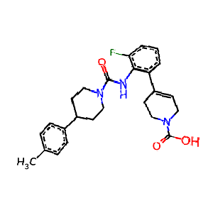 Cc1ccc(C2CCN(C(=O)Nc3c(F)cccc3C3=CCN(C(=O)O)CC3)CC2)cc1